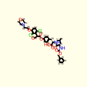 CC(C)C[C@H](NC(=O)OCc1ccccc1)C(=O)N[C@@H](Cc1ccc(OC(=O)C(C=O)c2c(Cl)ccc(OCCN3CCOCC3)c2Cl)cc1)C(=O)O